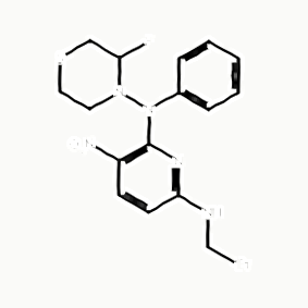 CC(C)CNc1ccc([N+](=O)[O-])c(N(c2ccccc2)N2CCSCC2F)n1